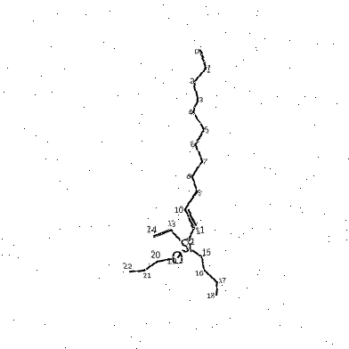 CCCCCCCCCCC=C[Si](CC)(CCCC)OCCC